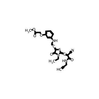 C#CCNC(=O)C(=C=c1sc(=C=CNc2cccc(OCC(=O)OC)c2)c(=O)n1CC)C#N